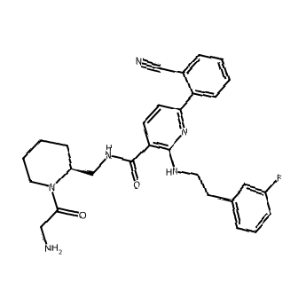 N#Cc1ccccc1-c1ccc(C(=O)NC[C@@H]2CCCCN2C(=O)CN)c(NCCc2cccc(F)c2)n1